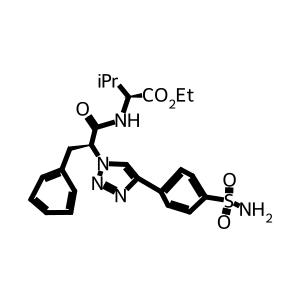 CCOC(=O)[C@@H](NC(=O)[C@H](Cc1ccccc1)n1cc(-c2ccc(S(N)(=O)=O)cc2)nn1)C(C)C